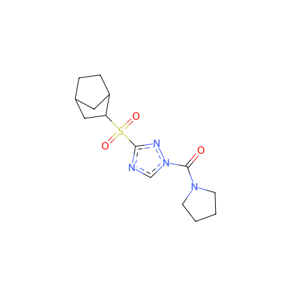 O=C(N1CCCC1)n1cnc(S(=O)(=O)C2CC3CCC2C3)n1